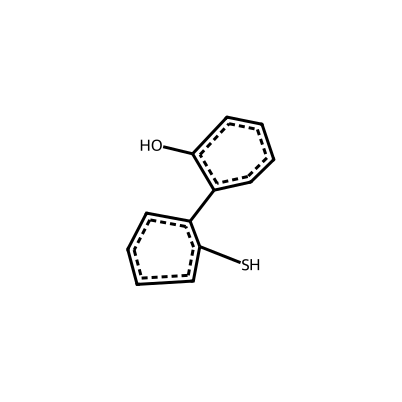 Oc1ccccc1-c1ccccc1S